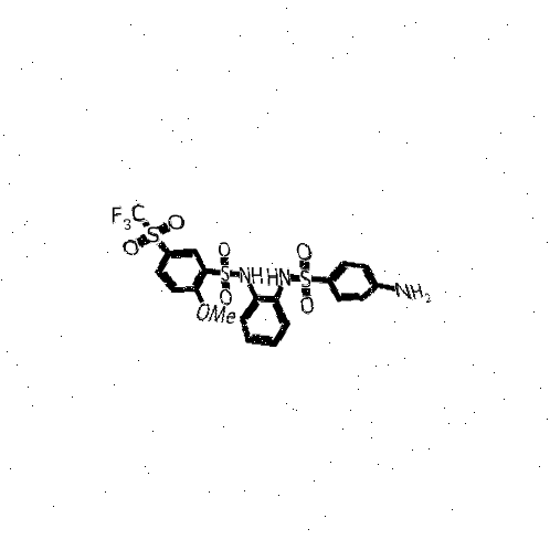 COc1ccc(S(=O)(=O)C(F)(F)F)cc1S(=O)(=O)Nc1ccccc1NS(=O)(=O)c1ccc(N)cc1